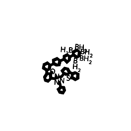 Bc1c(B)c(B)c(-c2ccc(-c3ccc(-c4cccc5c4oc4c(-c6nc(-c7ccccc7)nc(-c7cccc8c7sc7ccccc78)n6)cccc45)cc3)cc2)c(B)c1B